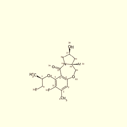 Cc1cc2c(c(O[C@H](C)CF)c1F)C(=O)N1C[C@@H](O)C[C@@H]1CO2